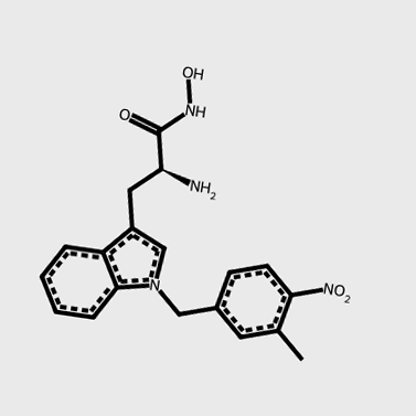 Cc1cc(Cn2cc(C[C@H](N)C(=O)NO)c3ccccc32)ccc1[N+](=O)[O-]